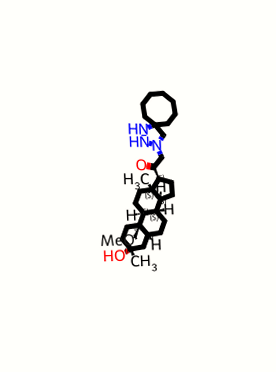 COC[C@]12CC[C@@](C)(O)C[C@@H]1CC[C@H]1[C@@H]3CC[C@H](C(=O)CN4CC5(CCCCCCC5)NN4)[C@@]3(C)CC[C@@H]12